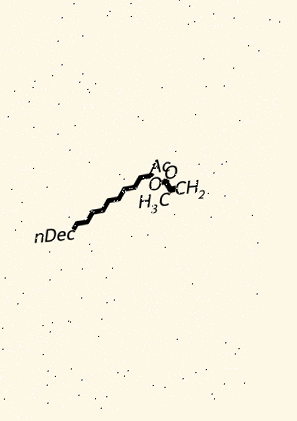 C=C(C)C(=O)OC(CCCCCCCCCCCCCCCCCCC)C(C)=O